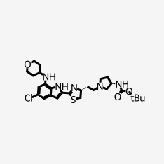 CC(C)(C)OC(=O)N[C@H]1CCN(CC[C@@H]2CSC(c3cc4cc(Cl)cc(NC5CCOCC5)c4[nH]3)=N2)C1